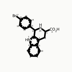 O=C(O)C1Cc2c([nH]c3ccccc23)C(c2ccc(Br)cc2)N1